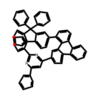 c1ccc(-c2cc(-c3ccc4c5ccccc5c5cccc(-c6ccc7c(c6)C(c6ccccc6)(c6ccccc6)c6ccccc6-7)c5c4c3)nc(-c3ccccc3)n2)cc1